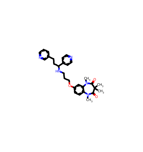 CN1C(=O)C(C)(C)C(=O)N(C)c2cc(OCCCNC(CCc3cccnc3)c3ccncc3)ccc21